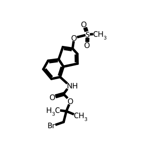 CC(C)(CBr)OC(=O)Nc1cccc2cc(OS(C)(=O)=O)ccc12